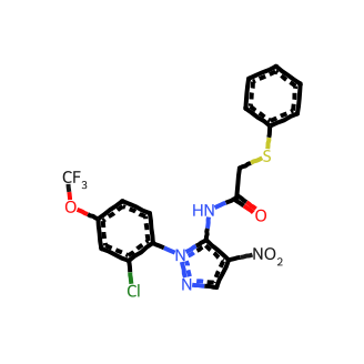 O=C(CSc1ccccc1)Nc1c([N+](=O)[O-])cnn1-c1ccc(OC(F)(F)F)cc1Cl